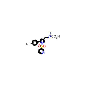 N#Cc1ccc(-c2cc(CCNC(=O)O)cn2S(=O)(=O)c2cccnc2)cc1